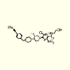 CC[C@H]1CN(c2nc(N)c(C(=O)NCCO)nc2Cl)CCN1C1CCN(Cc2ccc(C#CC(C)(C)C)cc2)CC1